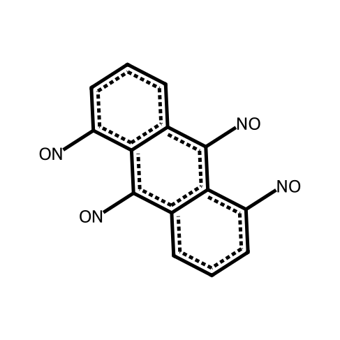 O=Nc1cccc2c(N=O)c3c(N=O)cccc3c(N=O)c12